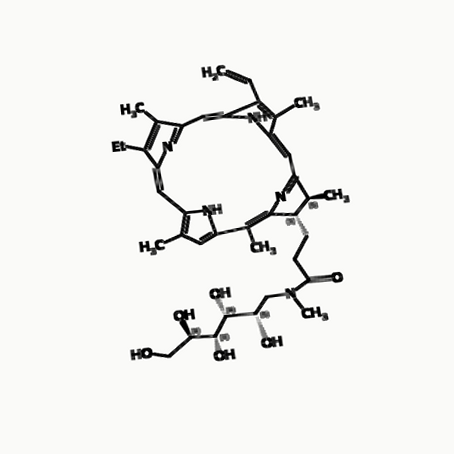 C=Cc1c(C)c2cc3nc(c(C)c4cc(C)c(cc5nc(cc1[nH]2)C(C)=C5CC)[nH]4)[C@@H](CCC(=O)N(C)C[C@H](O)[C@@H](O)[C@H](O)[C@H](O)CO)[C@@H]3C